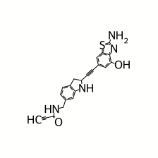 C#CC(=O)NCc1ccc2c(c1)NC(C#Cc1cc(O)c3nc(N)sc3c1)C2